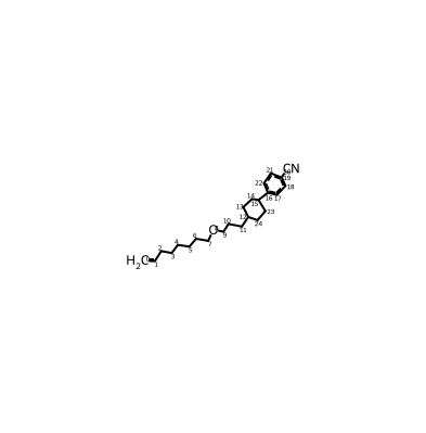 C=CCCCCCCOCCCC1CCC(c2ccc(C#N)cc2)CC1